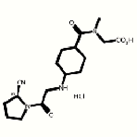 CN(CC(=O)O)C(=O)C1CCC(NCC(=O)N2CCC[C@H]2C#N)CC1.Cl